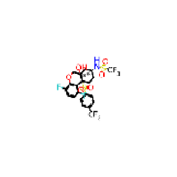 O=S(=O)(N[C@@H]1CC[C@@]2(S(=O)(=O)c3ccc(C(F)(F)F)cc3)c3c(F)ccc(F)c3OC[C@@]2(O)C1)C(F)(F)F